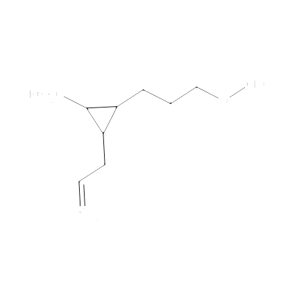 C=CCC1C(CCCOC=O)C1C(=O)OCC